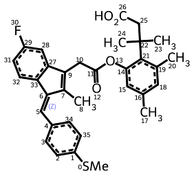 CSc1ccc(/C=C2\C(C)=C(CC(=O)Oc3cc(C)cc(C)c3C(C)(C)CC(=O)O)c3cc(F)ccc32)cc1